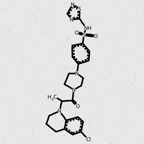 CC(C(=O)N1CCN(c2ccc(S(=O)(=O)Nc3ncns3)cc2)CC1)N1CCCc2cc(Cl)ccc21